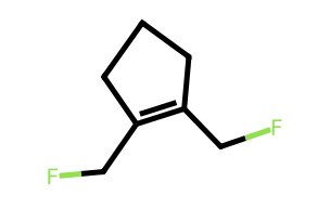 FCC1=C(CF)CCC1